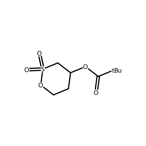 CC(C)(C)C(=O)OC1CCOS(=O)(=O)C1